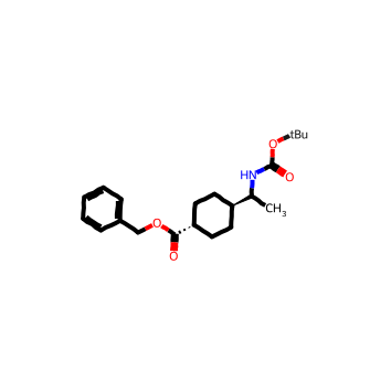 CC(NC(=O)OC(C)(C)C)[C@H]1CC[C@H](C(=O)OCc2ccccc2)CC1